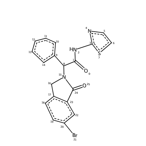 O=C(Nc1nccs1)C(c1ccccc1)N1Cc2ccc(Br)cc2C1=O